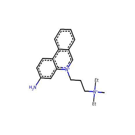 CC[N+](C)(CC)CCC[n+]1cc2ccccc2c2ccc(N)cc21